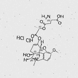 COc1ccc2c3c1O[C@H]1C(OC(=O)[C@H](C)OC(=O)C[C@H](N)C(=O)O)=CC[C@@]4(O)[C@@H](C2)N(C)CC[C@]314.Cl.Cl